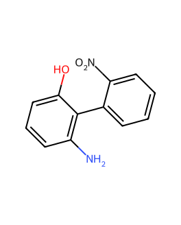 Nc1cccc(O)c1-c1ccccc1[N+](=O)[O-]